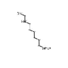 CCCCCCCCCCCCNCN=O